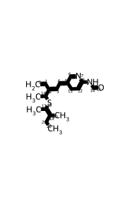 C=C/C(=C\C=C1\C=NC(NC=O)=CC1)C(C)S/C(C)=C(\C)CC